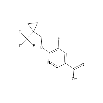 O=C(O)c1cnc(OCC2(C(F)(F)F)CC2)c(F)c1